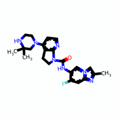 Cc1cn2cc(NC(=O)N3CCc4c(N5CCNC(C)(C)C5)ccnc43)c(F)cc2n1